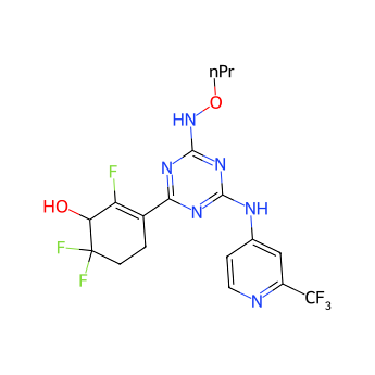 CCCONc1nc(Nc2ccnc(C(F)(F)F)c2)nc(C2=C(F)C(O)C(F)(F)CC2)n1